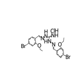 CCOc1cc(Br)ccc1C=NNC(=N)NN=Cc1ccc(Br)cc1OCC.Cl